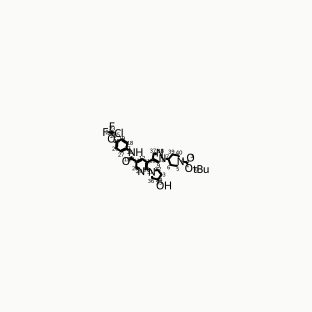 CC(C)(C)OC(=O)N1CCC(n2cc(-c3cc(C(=O)Nc4ccc(OC(F)(F)Cl)cc4)cnc3N3CC[C@@H](O)C3)cn2)CC1